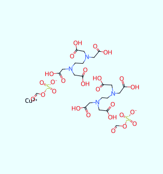 O=C(O)CN(CCN(CC(=O)O)CC(=O)O)CC(=O)O.O=C(O)CN(CCN(CC(=O)O)CC(=O)O)CC(=O)O.O=COS(=O)(=O)[O-].O=COS(=O)(=O)[O-].[Cu+2]